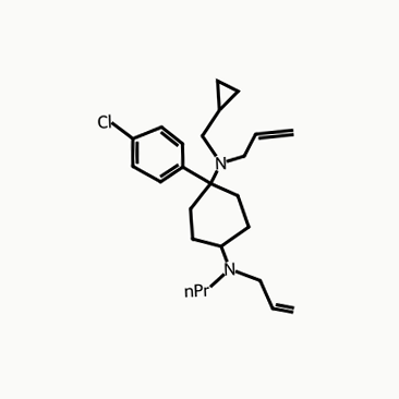 C=CCN(CCC)C1CCC(c2ccc(Cl)cc2)(N(CC=C)CC2CC2)CC1